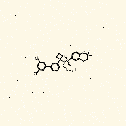 CC1(C)CCc2cc(S(=O)(=O)N(CC(=O)O)C3(c4cccc(-c5cc(Cl)cc(Cl)c5)c4)CCC3)ccc2O1